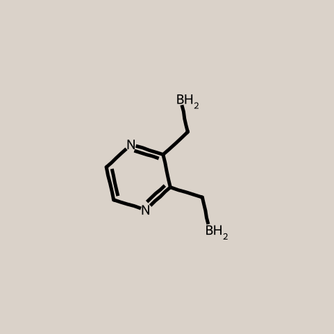 BCc1nccnc1CB